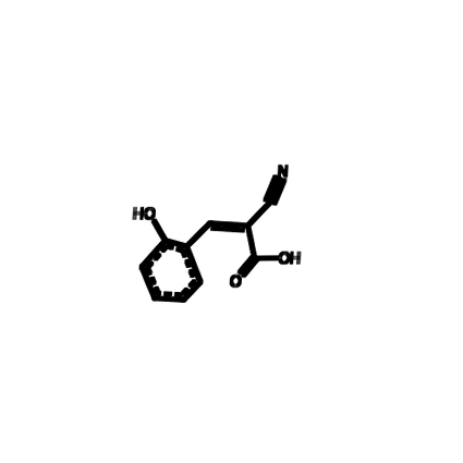 N#CC(=Cc1ccccc1O)C(=O)O